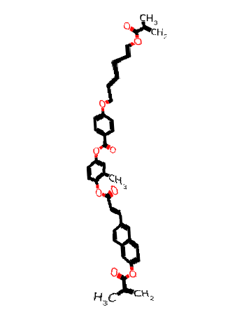 C=C(C)C(=O)OCCCCCCOc1ccc(C(=O)Oc2ccc(OC(=O)/C=C/c3ccc4cc(OC(=O)C(=C)C)ccc4c3)c(C)c2)cc1